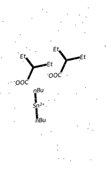 CCC(CC)C(=O)[O-].CCC(CC)C(=O)[O-].CCC[CH2][Sn+2][CH2]CCC